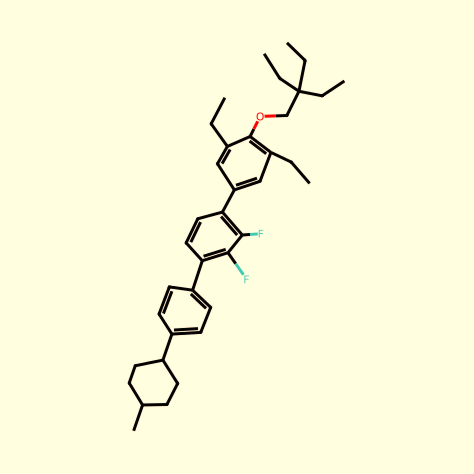 CCc1cc(-c2ccc(-c3ccc(C4CCC(C)CC4)cc3)c(F)c2F)cc(CC)c1OCC(CC)(CC)CC